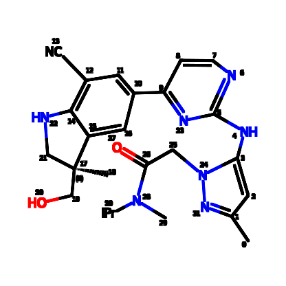 Cc1cc(Nc2nccc(-c3cc(C#N)c4c(c3)[C@@](C)(CO)CN4)n2)n(CC(=O)N(C)C(C)C)n1